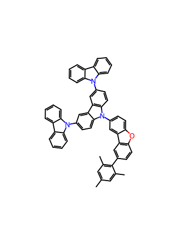 Cc1cc(C)c(-c2ccc3oc4ccc(-n5c6ccc(-n7c8ccccc8c8ccccc87)cc6c6cc(-n7c8ccccc8c8ccccc87)ccc65)cc4c3c2)c(C)c1